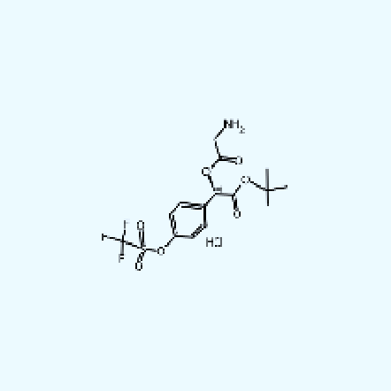 CC(C)(C)OC(=O)[C@H](OC(=O)CN)c1ccc(OS(=O)(=O)C(F)(F)F)cc1.Cl